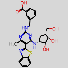 Cc1nc(NCc2cccc(C(=O)O)c2)nc(N[C@@H]2C[C@H](CO)[C@@H](O)[C@H]2O)c1-c1nc2ccccc2s1